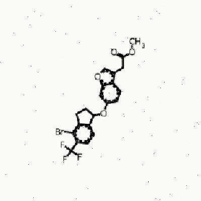 COC(=O)Cc1coc2cc(OC3CCc4c3ccc(C(F)(F)F)c4Br)ccc12